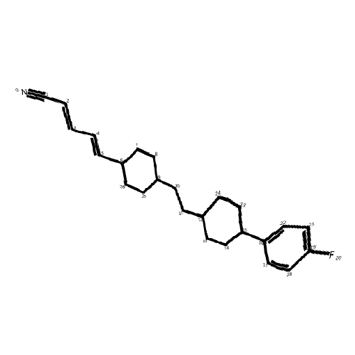 N#CC=CC=CC1CCC(CCC2CCC(c3ccc(F)cc3)CC2)CC1